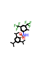 Cc1c(NS(=O)(=O)c2c(C(C)C)cc(C(C)C)cc2C(C)C)cc(C(F)(F)F)cc1C(F)(F)F